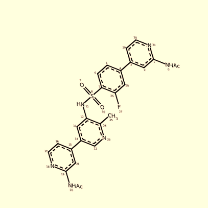 CC(=O)Nc1cc(-c2ccc(S(=O)(=O)Nc3cc(-c4ccnc(NC(C)=O)c4)cnc3C)c(F)c2)ccn1